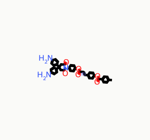 Cc1ccc(C(=O)Oc2ccc(/C=C/C(=O)Oc3ccc(N4C(=O)CC(c5ccc(N)cc5)(c5ccc(N)cc5)CC4=O)cc3)cc2)cc1